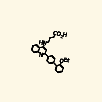 CCOc1ccccc1-c1ccc(-c2cc(NCCCC(=O)O)c3ccccc3n2)cc1